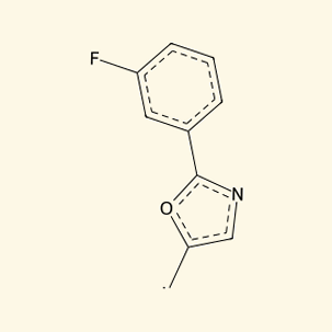 [CH2]c1cnc(-c2cccc(F)c2)o1